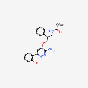 COC(=O)NCC(COc1cc(-c2ccccc2O)nnc1N)c1ccccc1